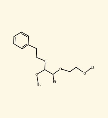 CCOCCOC(CC)C(OCC)OCCc1ccccc1